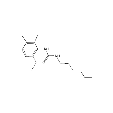 CCCCCCNC(=O)Nc1c(CC)ccc(C)c1C